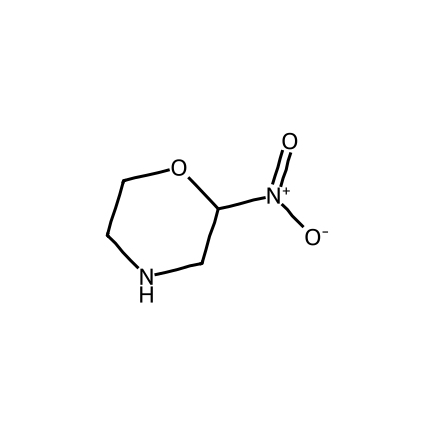 O=[N+]([O-])C1CNCCO1